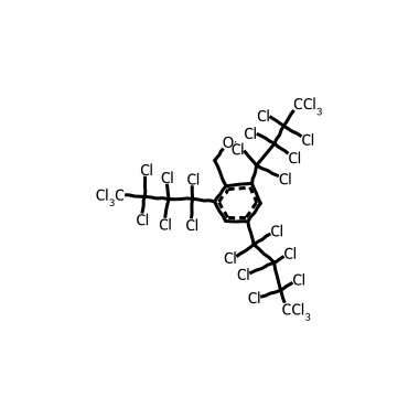 [O]Cc1c(C(Cl)(Cl)C(Cl)(Cl)C(Cl)(Cl)C(Cl)(Cl)Cl)cc(C(Cl)(Cl)C(Cl)(Cl)C(Cl)(Cl)C(Cl)(Cl)Cl)cc1C(Cl)(Cl)C(Cl)(Cl)C(Cl)(Cl)C(Cl)(Cl)Cl